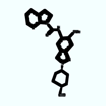 COc1cc2nn([C@H]3CC[C@H](C=O)CC3)cc2cc1NC(=O)n1ccc2cccnc21